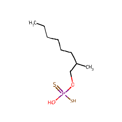 CCCCCCC(C)COP(O)(=S)S